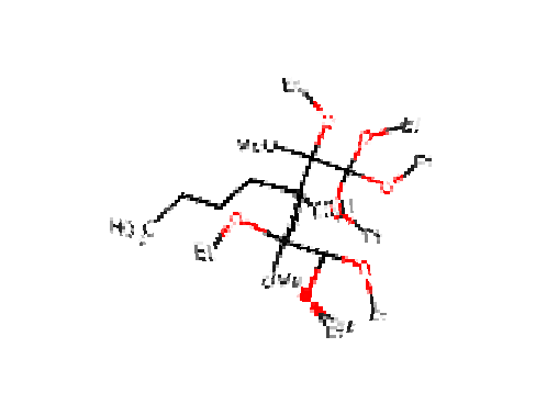 CCOC(OCC)(OCC)C(OC)(OCC)C(CCCC(=O)O)(C(=O)O)C(OC)(OCC)C(OCC)(OCC)OCC